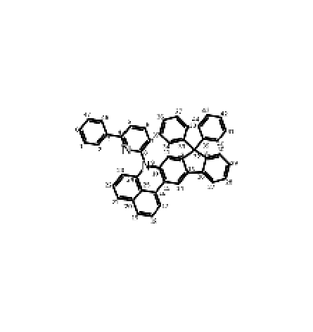 c1ccc(-c2cccc(N3c4cc5c(cc4-c4cccc6cccc3c46)-c3ccccc3C5(c3ccccc3)c3ccccc3)n2)cc1